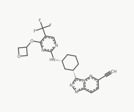 C#Cc1ccc2nnc([C@H]3CCC[C@@H](Nc4ncc(C(F)(F)F)c(OC5COC5)n4)C3)n2n1